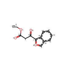 CC(C)(C)OC(=O)CC(=O)c1occ2ccccc12